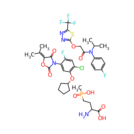 CC(C)=C1OC(=O)N(c2cc(OC3CCCC3)c(Cl)cc2F)C1=O.CC(C)N(C(=O)COc1nnc(C(F)(F)F)s1)c1ccc(F)cc1.CP(=O)(O)CCC(N)C(=O)O